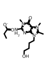 CCC(=O)[O-].Cc1n(C)c2c(=O)n(C)c(N)nc2[n+]1CCCCO